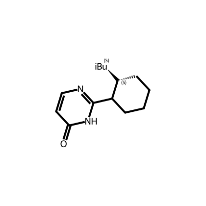 CC[C@H](C)[C@@H]1CCCCC1c1nccc(=O)[nH]1